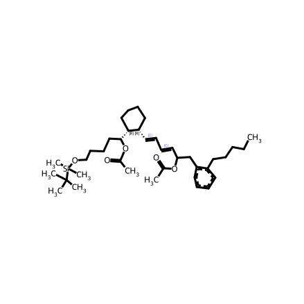 CCCCCc1ccccc1CC(/C=C/C=C/[C@H]1CCCC[C@H]1C(CCCCO[Si](C)(C)C(C)(C)C)OC(C)=O)OC(C)=O